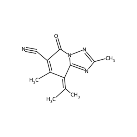 CC(C)=c1c(C)c(C#N)c(=O)n2nc(C)nc12